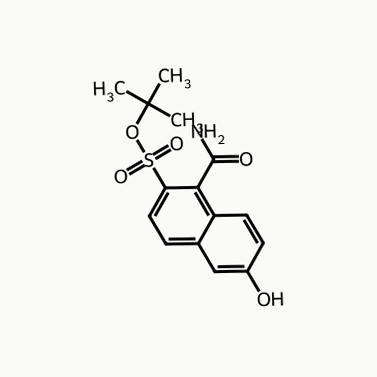 CC(C)(C)OS(=O)(=O)c1ccc2cc(O)ccc2c1C(N)=O